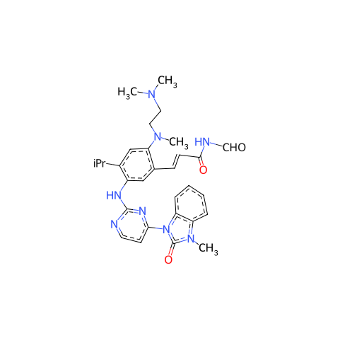 CC(C)c1cc(N(C)CCN(C)C)c(C=CC(=O)NC=O)cc1Nc1nccc(-n2c(=O)n(C)c3ccccc32)n1